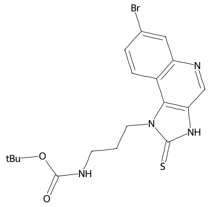 CC(C)(C)OC(=O)NCCCn1c(=S)[nH]c2cnc3cc(Br)ccc3c21